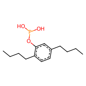 CCCCc1ccc(CCCC)c(OP(O)O)c1